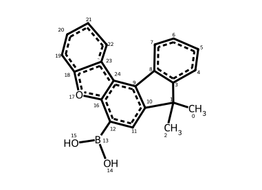 CC1(C)c2ccccc2-c2c1cc(B(O)O)c1oc3ccccc3c21